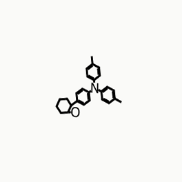 Cc1ccc(N(c2ccc(C)cc2)c2ccc(C34CCCCC3O4)cc2)cc1